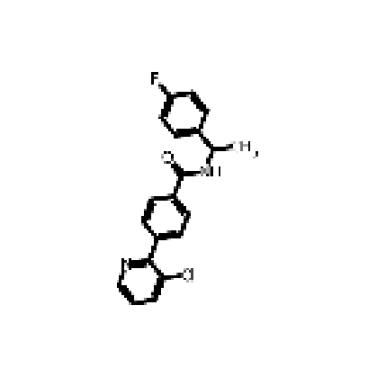 CC(NC(=O)c1ccc(-c2ncccc2Cl)cc1)c1ccc(F)cc1